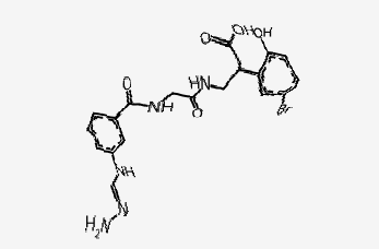 NN=CNc1cccc(C(=O)NCC(=O)NCC(C(=O)O)c2cc(Br)ccc2O)c1